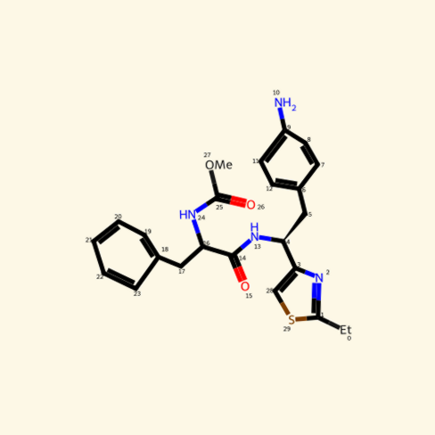 CCc1nc([C@H](Cc2ccc(N)cc2)NC(=O)C(Cc2ccccc2)NC(=O)OC)cs1